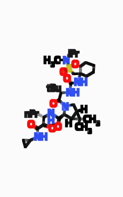 CCC[C@H](NC(=O)[C@@H]1[C@@H]2[C@H](CN1C(=O)[C@@H](NC(=O)NC1(CS(=O)(=O)N(C)C(C)C)CCCCC1)C(C)(C)C)C2(C)C)C(=O)C(=O)NC1CC1